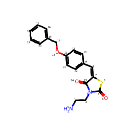 NCCN1C(=O)S/C(=C/c2ccc(OCc3ccccc3)cc2)C1=O